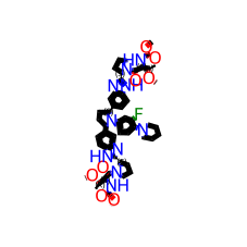 COC(=O)N[C@H](C(=O)N1CCC[C@H]1c1nc2cc(C3CC[C@@H](c4ccc5[nH]c([C@@H]6CCCN6C(=O)[C@@H](NC(=O)OC)[C@@H](C)OC)nc5c4)N3c3ccc(N4CCCCC4)c(F)c3)ccc2[nH]1)[C@@H](C)OC